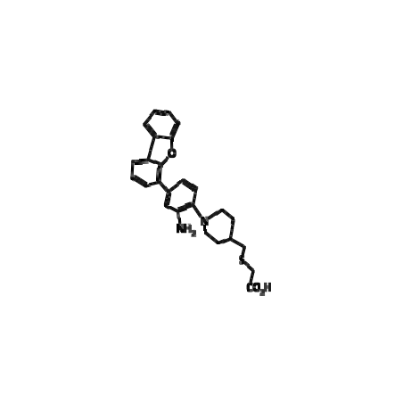 Nc1cc(-c2cccc3c2oc2ccccc23)ccc1N1CCC(CSCC(=O)O)CC1